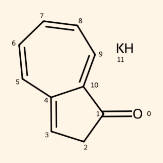 O=C1CC=C2C=CC=CC=C12.[KH]